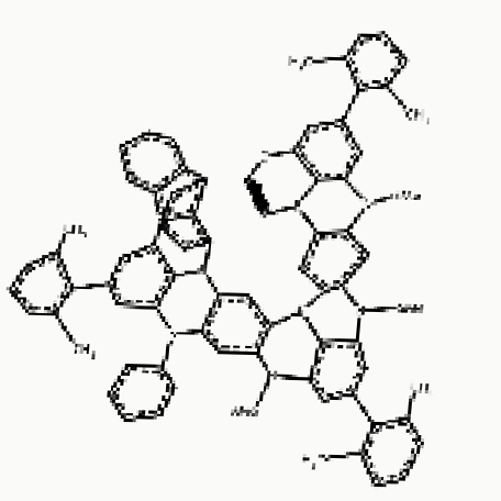 CSN1c2cc3c(cc2B2c4ccccc4Oc4cc(-c5c(C)cccc5C)cc1c42)B1c2cc4c(cc2N(SC)c2cc(-c5c(C)cccc5C)cc(c21)N3SC)N(c1ccccc1)c1cc(-c2c(C)cccc2C)cc2c1B4c1cccc3c4ccccc4n-2c13